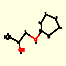 CC(O)[CH]OC1CCCCC1